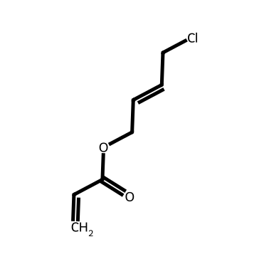 C=CC(=O)OCC=CCCl